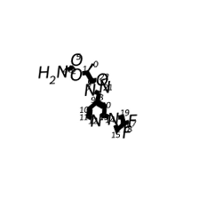 C[C@H](OC(N)=O)c1nc(-c2ccnc(N3CC(F)(F)C3)c2)no1